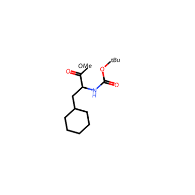 COC(=O)C(CC1CCCCC1)NC(=O)OC(C)(C)C